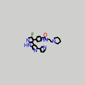 O=C(NCCN1CCCCCC1)c1ccc(-c2c(F)cnc3[nH]c4cnc(-c5cccnc5)cc4c23)cc1